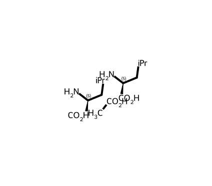 CC(=O)O.CC(C)C[C@H](N)C(=O)O.CC(C)C[C@H](N)C(=O)O